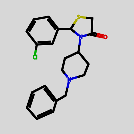 O=C1CSC(c2cccc(Cl)c2)N1C1CCN(Cc2ccccc2)CC1